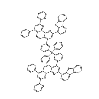 c1ccc(-c2cc(-c3ccccn3)nc3c2ccc2c(-c4cccc([Si](c5ccccc5)(c5ccccc5)c5cccc(-c6cc(-c7cccc8c7sc7ccccc78)nc7c6ccc6c(-c8ccccc8)cc(-c8ccccn8)nc67)c5)c4)cc(-c4cccc5c4sc4ccccc45)nc23)cc1